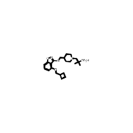 CC(C)(CN1CCC(COc2noc3cccc(OCC4CCC4)c23)CC1)C(=O)O